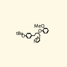 COc1ccccc1OC(CCc1ccc(OC(C)(C)C)cc1)Cn1ccnc1